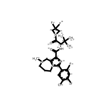 CN1CCCn2c(-c3cc(Cl)c(F)cc3F)nc(C(=O)N[C@H](C(=O)N3CC(F)(F)C3)C(C)(C)C)c2C1